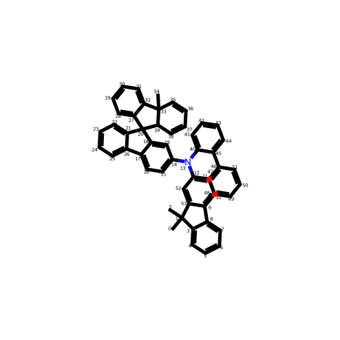 CC1(C)c2ccccc2-c2ccc(N(c3ccc4c(c3)C3(c5ccccc5-4)c4ccccc4C4(C)C=CC=CC43)c3ccccc3-c3ccccc3)cc21